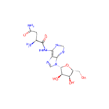 NC(=O)C[C@H](N)C(=O)Nc1ncnc2c1ncn2[C@@H]1O[C@H](CO)[C@@H](O)[C@H]1O